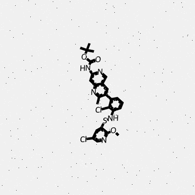 COc1ncc(Cl)cc1SNc1cccc(-c2cc3cnc(NC(=O)OC(C)(C)C)cc3nc2C)c1Cl